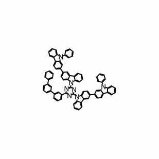 c1ccc(-c2cccc(-c3cccc(-c4nc(-n5c6ccccc6c6cc(-c7ccc8c9ccccc9n(-c9ccccc9)c8c7)ccc65)nc(-n5c6ccccc6c6cc(-c7ccc8c9ccccc9n(-c9ccccc9)c8c7)ccc65)n4)c3)c2)cc1